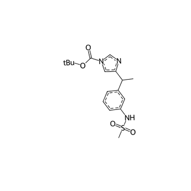 CC(c1cccc(NS(C)(=O)=O)c1)c1cn(C(=O)OC(C)(C)C)cn1